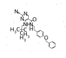 CC(C)(C)CNc1nc(C#N)ncc1C(=O)NCCc1ccc(OCc2ccccc2)cc1